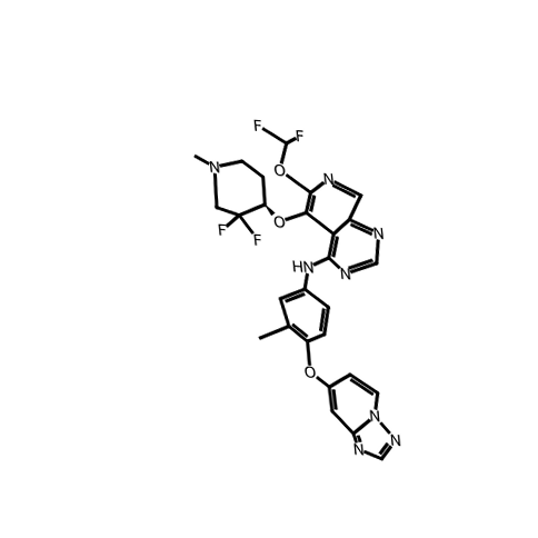 Cc1cc(Nc2ncnc3cnc(OC(F)F)c(O[C@@H]4CCN(C)CC4(F)F)c23)ccc1Oc1ccn2ncnc2c1